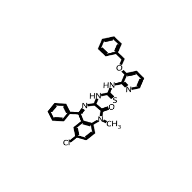 CN1C(=O)C(NC(=S)Nc2ncccc2OCc2ccccc2)N=C(c2ccccc2)c2cc(Cl)ccc21